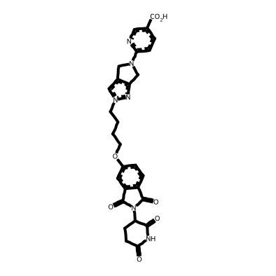 O=C1CCC(N2C(=O)c3ccc(OCCCCn4cc5c(n4)CN(c4ccc(C(=O)O)cn4)C5)cc3C2=O)C(=O)N1